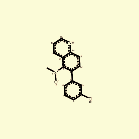 C[S+]([O-])c1c(-c2cccc(Cl)c2)ccc2ncccc12